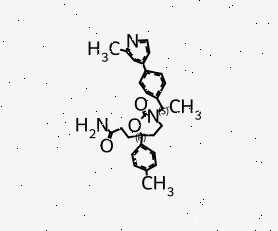 Cc1ccc([C@@]2(CCC(N)=O)CCN([C@@H](C)c3ccc(-c4ccnc(C)c4)cc3)C(=O)O2)cc1